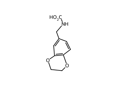 O=C(O)NCc1ccc2c(c1)OCCO2